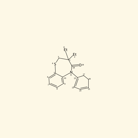 CCC1(CC)CSc2ccccc2N(C2=CC=CCC2)C1=O